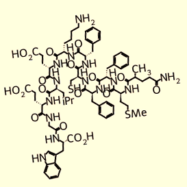 CSCC[C@H](NC(=O)[C@@H](C)CCC(N)=O)C(=O)N[C@@H](Cc1ccccc1)C(=O)N[C@@H](Cc1ccccc1)C(=O)N[C@@H](CS)C(=O)N[C@@H](Cc1ccccc1)C(=O)N[C@@H](CCCCN)C(=O)N[C@@H](CCC(=O)O)C(=O)N[C@@H](CC(C)C)C(=O)N[C@@H](CCC(=O)O)C(=O)NCC(=O)N[C@@H](Cc1c[nH]c2ccccc12)C(=O)O